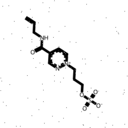 C=CCNC(=O)c1cc[n+](CCCOS(=O)(=O)[O-])nc1